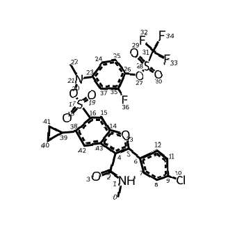 CNC(=O)c1c(-c2ccc(Cl)cc2)oc2cc(S(=O)(=O)ON(C)c3ccc(OS(=O)(=O)C(F)(F)F)c(F)c3)c(C3CC3)cc12